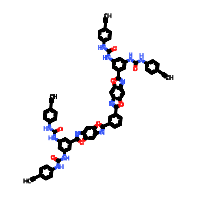 C#Cc1ccc(NC(=O)Nc2cc(NC(=O)Nc3ccc(C#C)cc3)cc(-c3nc4cc5oc(-c6cccc(-c7nc8cc9oc(-c%10cc(NC(=O)Nc%11ccc(C#C)cc%11)cc(NC(=O)Nc%11ccc(C#C)cc%11)c%10)nc9cc8o7)c6)nc5cc4o3)c2)cc1